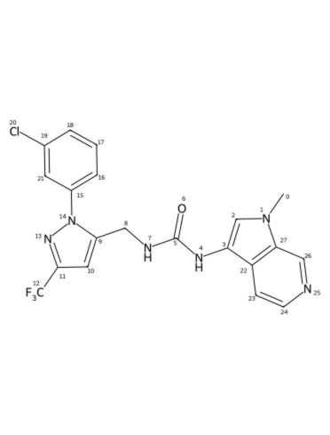 Cn1cc(NC(=O)NCc2cc(C(F)(F)F)nn2-c2cccc(Cl)c2)c2ccncc21